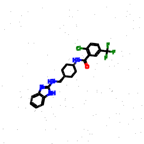 O=C(N[C@H]1CC[C@H](CNc2nc3ccccc3[nH]2)CC1)c1cc(C(F)(F)F)ccc1Cl